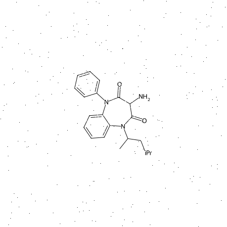 CC(C)CC(C)N1C(=O)C(N)C(=O)N(c2ccccc2)c2ccccc21